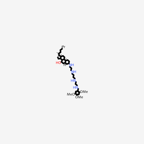 COc1cc(OC)c(OC)cc1CNCCCNCCCCNCCCN[C@H]1CC[C@]2(C)C3CC[C@@]4(C)C(CC[C@@H]4[C@H](C)CCCC(C)C)C3[C@@H](O)C[C@@H]2C1